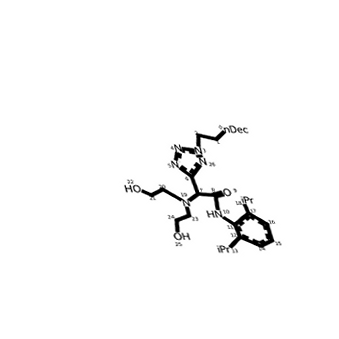 CCCCCCCCCCCCn1nnc(C(C(=O)Nc2c(C(C)C)cccc2C(C)C)N(CCO)CCO)n1